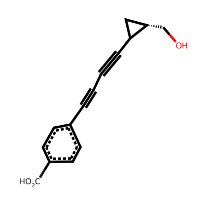 O=C(O)c1ccc(C#CC#CC2C[C@@H]2CO)cc1